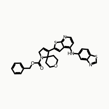 O=C(OCc1ccccc1)N1CC=C(c2cc3c(Nc4ccc5scnc5c4)ccnc3s2)C12CCOCC2